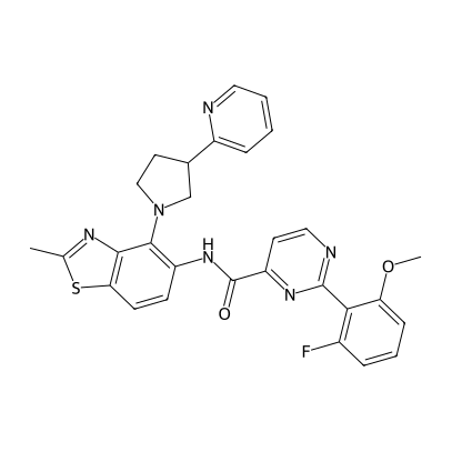 COc1cccc(F)c1-c1nccc(C(=O)Nc2ccc3sc(C)nc3c2N2CCC(c3ccccn3)C2)n1